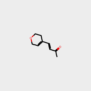 CC(=O)C=CC1=CCOCC1